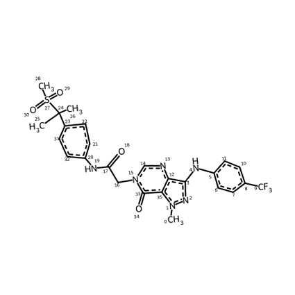 Cn1nc(Nc2ccc(C(F)(F)F)cc2)c2ncn(CC(=O)Nc3ccc(C(C)(C)S(C)(=O)=O)cc3)c(=O)c21